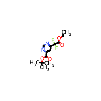 CCOC(=O)C(F)(F)c1cc(C(=O)OC(C)(C)C)ncn1